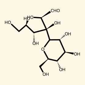 O=C[C@H](O)[C@](O)(C1O[C@H](CO)[C@@H](O)[C@H](O)[C@H]1O)[C@H](O)[C@H](O)CO